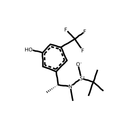 C[C@H](c1cc(O)cc(C(F)(F)F)c1)N(C)[S+]([O-])C(C)(C)C